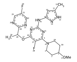 COC1CCN(c2nc(Nc3cc(C)[nH]n3)nc(OC(C)c3ncc(F)cn3)c2F)CC1